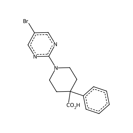 O=C(O)C1(c2ccccc2)CCN(c2ncc(Br)cn2)CC1